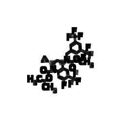 COC(=O)N(Cc1cc(C(F)(F)F)cc(C(F)(F)F)c1)[C@H]1C[C@@H](C2CC2)N(C(=O)OC(C)C)c2cc(F)c(C(F)(F)F)cc21